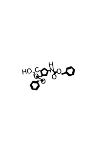 O=C(N[C@H]1CC(S(=O)(=O)c2ccccc2)[C@H](C(=O)O)C1)OCc1ccccc1